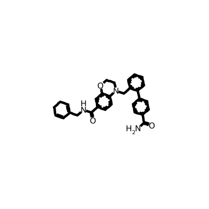 NC(=O)c1ccc(-c2ccccc2CN2CCOc3cc(C(=O)NCC4=CCCC=C4)ccc32)cc1